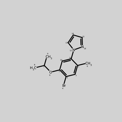 Cc1cc(Br)c(OC(C)C)cc1-n1cccn1